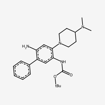 CN(C)C1CCN(c2cc(N)c(-c3ccccc3)cc2NC(=O)OC(C)(C)C)CC1